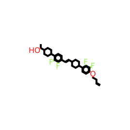 C=CCCOc1ccc(C2CCC(/C=C/c3ccc(C4CCC(C(C)O)CC4)c(F)c3F)CC2)c(F)c1F